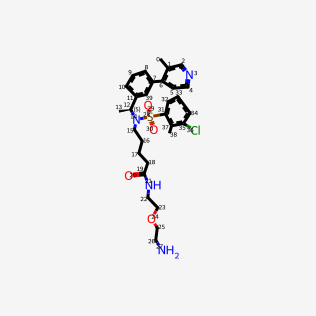 Cc1cnccc1-c1cccc([C@H](C)N(CCCCC(=O)NCCOCCN)S(=O)(=O)c2cccc(Cl)c2C)c1